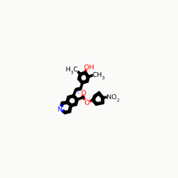 Cc1cc(/C=C/c2cc3cnccc3cc2C(=O)Oc2ccc([N+](=O)[O-])cc2)cc(C)c1O